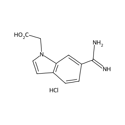 Cl.N=C(N)c1ccc2ccn(CC(=O)O)c2c1